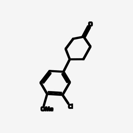 COc1ccc(C2CCC(=O)CC2)cc1Cl